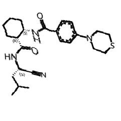 CC(C)C[C@@H](C#N)NC(=O)[C@@H]1CCCC[C@@H]1NC(=O)c1ccc(N2CCSCC2)cc1